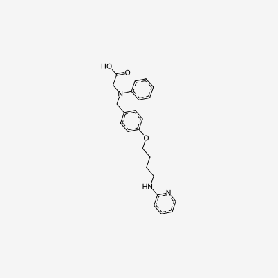 O=C(O)CN(Cc1ccc(OCCCCNc2ccccn2)cc1)c1ccccc1